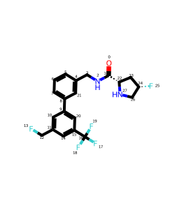 O=C(NCc1cccc(-c2cc(CF)cc(C(F)(F)F)c2)c1)[C@@H]1C[C@H](F)CN1